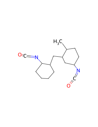 CC1CCC(N=C=O)CC1CC1CCCCC1N=C=O